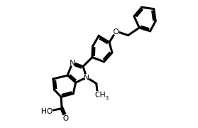 CCn1c(-c2ccc(OCc3ccccc3)cc2)nc2ccc(C(=O)O)cc21